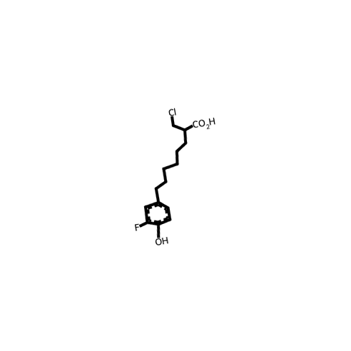 O=C(O)C(CCl)CCCCCCc1ccc(O)c(F)c1